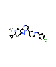 Cc1nn2c(C3CCCN(Cc4ccc(Cl)cc4)C3)ccnc2c1CN(C)CC1CC1